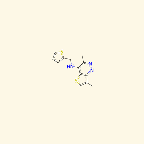 Cc1nnc2c(C)csc2c1NCc1cccs1